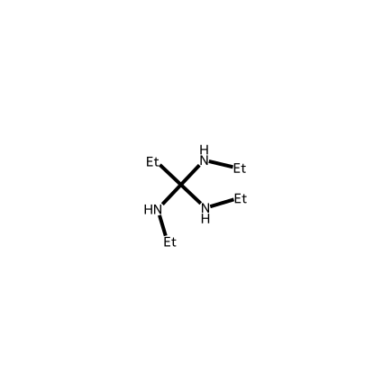 [CH2]CC(NCC)(NCC)NCC